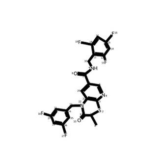 CC1Sc2ncc(C(=O)NCc3c(F)cc(F)cc3F)cc2N(Cc2cc(F)cc(F)c2)C1=O